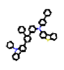 c1ccc(-c2ccc(N(c3cccc(-c4ccc(-c5ccc6c7ccccc7n(-c7ccccc7)c6c5)cc4-c4ccccc4)c3)c3ccc4sc5ccccc5c4c3)cc2)cc1